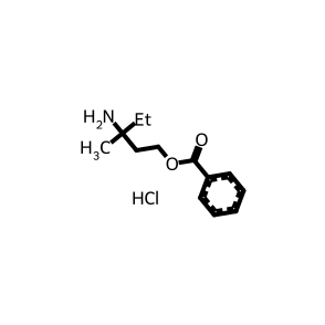 CCC(C)(N)CCOC(=O)c1ccccc1.Cl